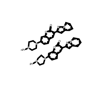 CC(C)N1CCN(c2ccc3cc(-c4cc5ccccn5n4)c(=O)oc3c2)CC1.CCCN1CCN(c2ccc3cc(-c4cc5ccccn5n4)c(=O)oc3c2)CC1